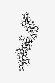 c1ccc(-c2nc(-c3cccc(-n4c5ccccc5c5c(-c6cccc7c6c6ccccc6n7-c6ccccc6)cccc54)c3)nc3c2-c2ccc(-n4c5ccccc5c5c(-c6cccc7c6c6ccccc6n7-c6ccccc6)cccc54)c4cccc-3c24)cc1